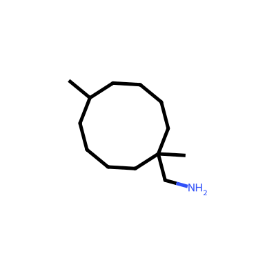 CC1CCCCC(C)(CN)CCCC1